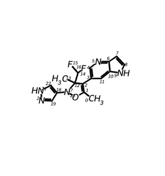 CC1=C(c2cnc3cc[nH]c3c2)C(C)(C(F)F)N(c2cn[nH]c2)O1